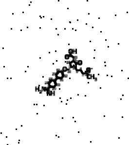 C[S+]([O-])CCCN1C(=O)[C@H](CC(=O)O)C[C@H]1COc1ccc(-c2ccc(C(=N)N)cc2)cc1